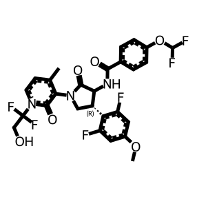 COc1cc(F)c([C@@H]2CN(c3c(C)ccn(C(F)(F)CO)c3=O)C(=O)C2NC(=O)c2ccc(OC(F)F)cc2)c(F)c1